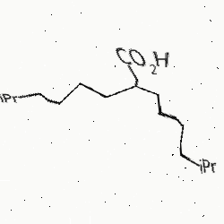 CC(C)CCCCC(CCCCC(C)C)C(=O)O